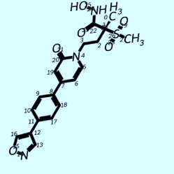 C[C@@](CCn1ccc(-c2ccc(-c3cnoc3)cc2)cc1=O)(C(=O)NO)S(C)(=O)=O